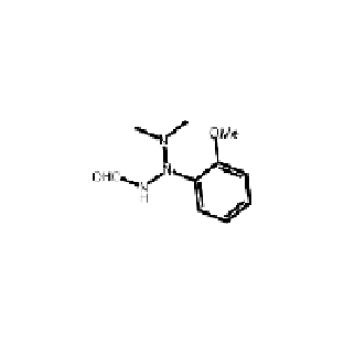 COc1ccccc1N(NC=O)N(C)C